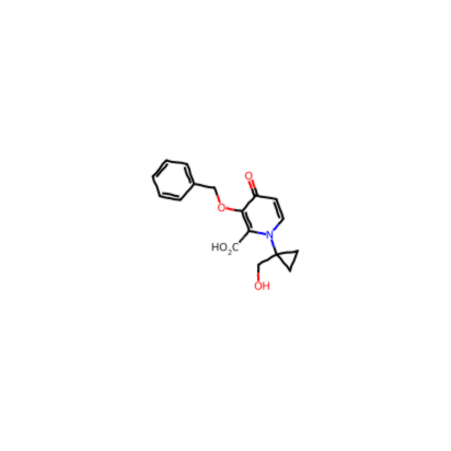 O=C(O)c1c(OCc2ccccc2)c(=O)ccn1C1(CO)CC1